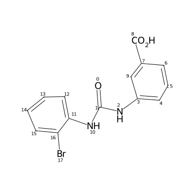 O=C(Nc1c[c]cc(C(=O)O)c1)Nc1ccccc1Br